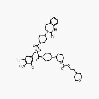 Nc1c(Cl)cc(C[C@@H](OC(=O)N2CCC(N3CCc4ccccc4NC3=O)CC2)C(=O)N2CCC(N3CCC[C@@H](C(=O)OCCN4CCOCC4)C3)CC2)cc1C(F)(F)F